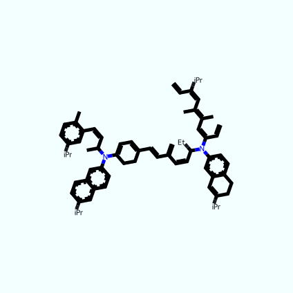 C=C\C(=C/C(C)=C(C)/C=C(\C=C)N(c1ccc2c(c1)C=C(C(C)C)CC2)C(/C=C\C(=C)/C=C/C1=CC=C(N(c2ccc3cc(C(C)C)ccc3c2)C(C)/C=C\c2cc(C(C)C)ccc2C)CC1)CC)C(C)C